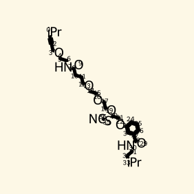 CC(C)C#CCOCCNC(=O)CCCOCCOCCOC(COc1cccc(C(=O)NCCC(C)C)c1)SC#N